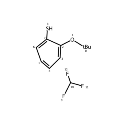 CC(C)(C)Oc1ccccc1S.FC(F)F